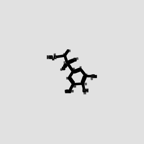 CC(C(=O)O)S(=O)(=O)c1cc(C(C)(C)C)c(O)c(C(C)(C)C)c1